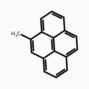 Cc1cc2cccc3ccc4[c]ccc1c4c32